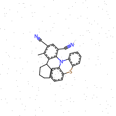 Cc1c(C#N)cc(C#N)c(N2c3ccccc3Sc3ccccc32)c1C1CCCCC1